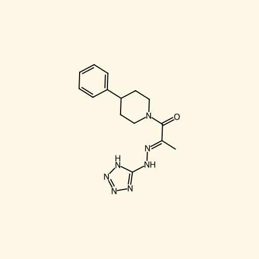 CC(=NNc1nnn[nH]1)C(=O)N1CCC(c2ccccc2)CC1